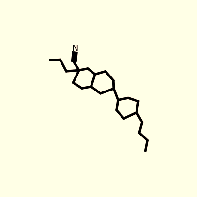 CCCCC1CCC(C2CCC3CC(C#N)(CCC)CCC3C2)CC1